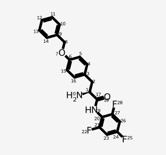 N[C@@H](Cc1ccc(OCc2ccccc2)cc1)C(=O)Nc1c(F)cc(F)cc1F